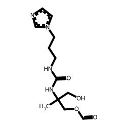 CC(CO)(COC=O)NC(=O)NCCCn1ccnc1